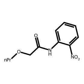 CCCOCC(=O)Nc1ccccc1[N+](=O)[O-]